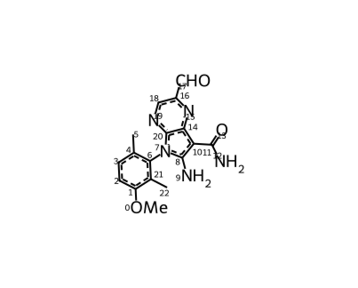 COc1ccc(C)c(-n2c(N)c(C(N)=O)c3nc(C=O)cnc32)c1C